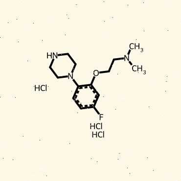 CN(C)CCOc1cc(F)ccc1N1CCNCC1.Cl.Cl.Cl